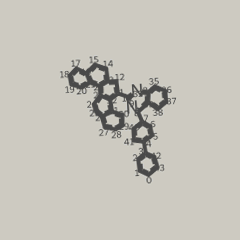 c1ccc(-c2ccc(-c3nc(-c4cc5ccc6ccccc6c5c5ccc6ccccc6c45)nc4ccccc34)cc2)cc1